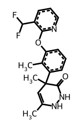 CC1=CC(C)(c2cccc(Oc3ncccc3C(F)F)c2C)C(=O)NN1